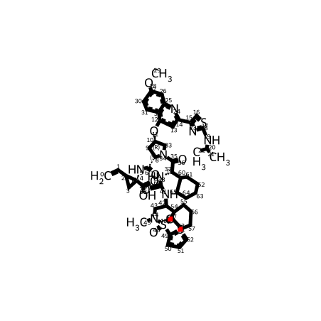 C=CC1C[C@]1(NC(=O)[C@@H]1C[C@@H](Oc2cc(-c3csc(NC(C)C)n3)nc3cc(OC)ccc23)CN1C(=O)[C@@H](NC(=O)NC(CN(C)S(=O)(=O)c1cccs1)C1CCCCC1)C1CCCCC1)C(=O)O